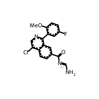 COc1ccc(F)cc1-c1ncc(Cl)c2ccc(C(=O)/N=C/N)cc12